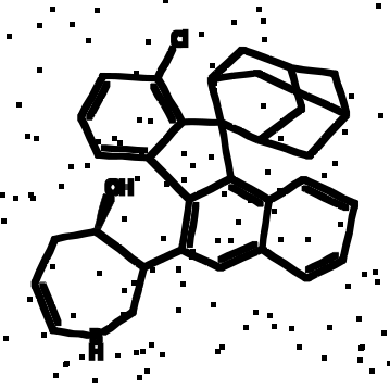 O[C@@H]1CC=CBCC1c1cc2ccccc2c2c1-c1cccc(Cl)c1C21C2CC3CC(C2)CC1C3